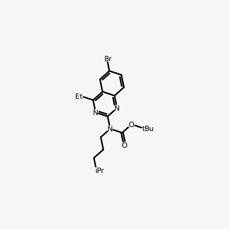 CCc1nc(N(CCCC(C)C)C(=O)OC(C)(C)C)nc2ccc(Br)cc12